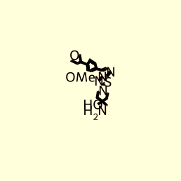 COc1cc(C2CCOC2)ccc1-c1cnc2sc(N3CCC(O)(CN)CC3)nn12